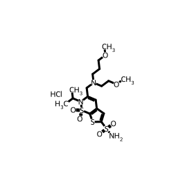 COCCCN(CCOC)CC1=Cc2cc(S(N)(=O)=O)sc2S(=O)(=O)N1C(C)C.Cl